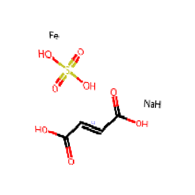 O=C(O)/C=C/C(=O)O.O=S(=O)(O)O.[Fe].[NaH]